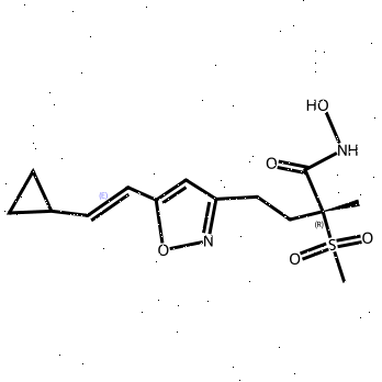 C[C@@](CCc1cc(/C=C/C2CC2)on1)(C(=O)NO)S(C)(=O)=O